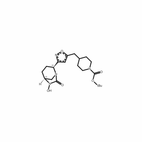 CC(C)(C)OC(=O)N1CCC(Cc2cc([C@@H]3CC[C@H]4CN3C(=O)N4O)no2)CC1